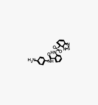 Nc1ccc(NC(=O)c2ccccc2NS(=O)(=O)c2cccc3nsnc23)cc1